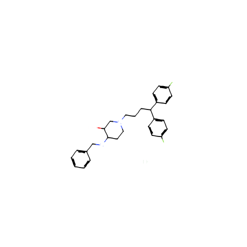 Cl.Cl.OC1CN(CCCC(c2ccc(F)cc2)c2ccc(F)cc2)CCC1NCc1ccccc1